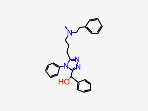 CN(CCCc1nnc(C(O)c2ccccc2)n1-c1ccccc1)CCc1ccccc1